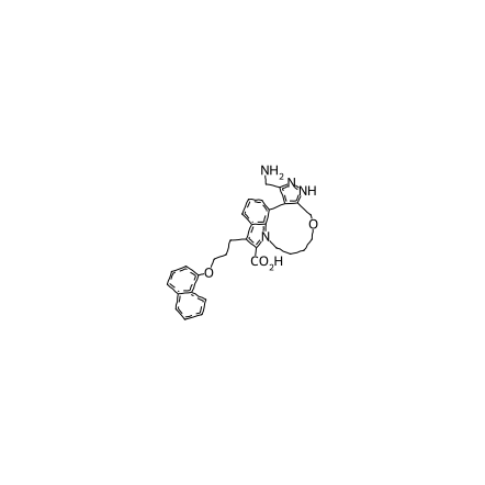 NCc1n[nH]c2c1-c1cccc3c(CCCOc4cccc5ccccc45)c(C(=O)O)n(c13)CCCCOC2